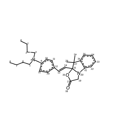 CCCCN(CCCC)c1ccc(C=CC23OC(=O)CN2c2ccccc2C3(C)C)cc1